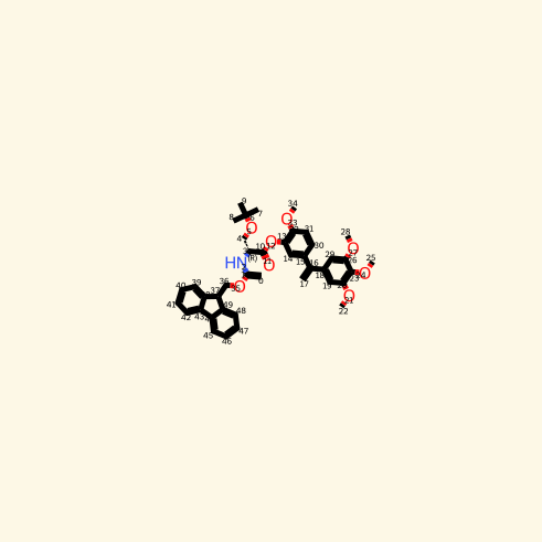 C=C(N[C@H](COC(C)(C)C)C(=O)Oc1cc(C(=C)c2cc(OC)c(OC)c(OC)c2)ccc1OC)OCC1c2ccccc2-c2ccccc21